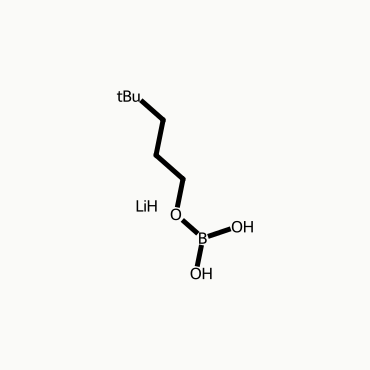 CC(C)(C)CCCOB(O)O.[LiH]